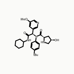 COc1cncc([C@H](C(=O)NC2CCCCC2)N(C(=O)[C@H]2C[C@@H](O)CN2)c2ccc(C(C)(C)C)cc2)c1